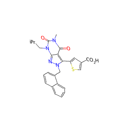 CC(C)Cn1c(=O)n(C)c(=O)c2c(-c3cc(C(=O)O)cs3)n(Cc3cccc4ccccc34)nc21